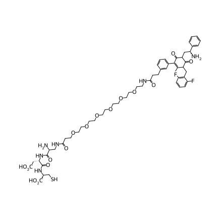 CC1=C(c2cccc(CCC(=O)NCCOCCOCCOCCOCCOCCOCCC(=O)NCC(N)C(=O)N[C@@H](CC(=O)O)C(=O)N[C@@H](CS)C(=O)O)c2)C(=O)C(C[C@H](N)c2ccccc2)C(=O)C1Cc1c(F)cccc1F